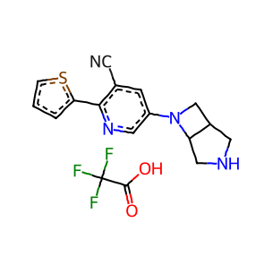 N#Cc1cc(N2CC3CNCC32)cnc1-c1cccs1.O=C(O)C(F)(F)F